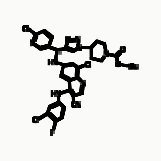 CC(C)(C)OC(=O)N1CCC(n2cc([C@@H](Nc3cc(Cl)c4ncc(C#N)c(Nc5ccc(F)c(Cl)c5)c4c3)c3ccc(Cl)nc3)nn2)CC1